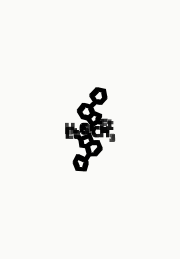 CCC1=Cc2c(-c3ccccc3)cccc2C1[Si](C)(C)C1C(CC)=Cc2c(-c3ccccc3)cccc21